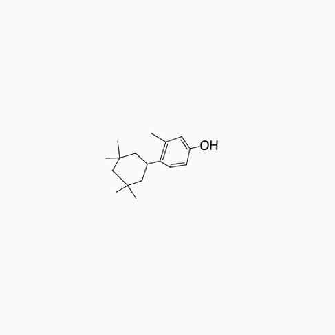 Cc1cc(O)ccc1C1CC(C)(C)CC(C)(C)C1